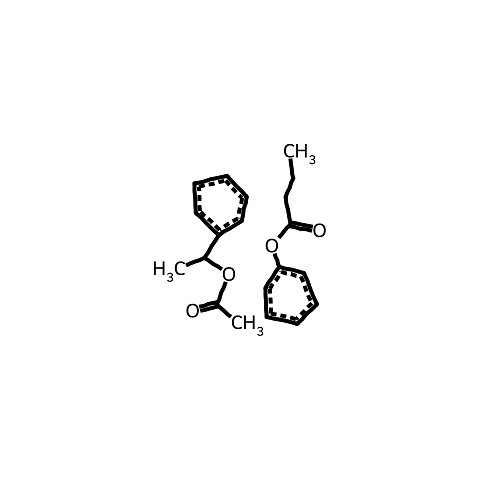 CC(=O)OC(C)c1ccccc1.CCCC(=O)Oc1ccccc1